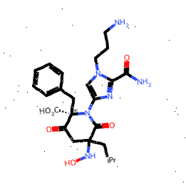 CC(C)CC1(NO)CC(=O)[C@](Cc2ccccc2)(C(=O)O)N(c2cn(CCCN)c(C(N)=O)n2)C1=O